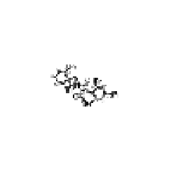 CC(C)c1cc(C(C)C)c(C(C(=O)NOc2c(C(C)C)cccc2C(C)C)[SH](=O)=O)c(C(C)C)c1